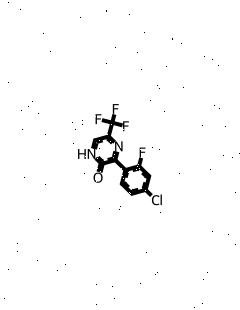 O=c1[nH]cc(C(F)(F)F)nc1-c1ccc(Cl)cc1F